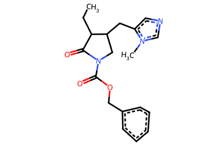 CCC1C(=O)N(C(=O)OCc2ccccc2)CC1Cc1cncn1C